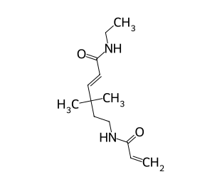 C=CC(=O)NCCC(C)(C)/C=C/C(=O)NCC